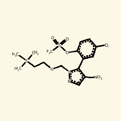 CS(C)(C)CCOCn1ncc([N+](=O)[O-])c1-c1cc(Cl)ccc1OS(=O)(=O)C(F)(F)F